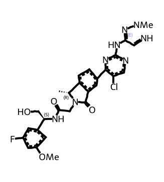 CN/N=C(\C=N)Nc1ncc(Cl)c(-c2ccc3c(c2)C(=O)N(CC(=O)N[C@H](CO)c2cc(F)cc(OC)c2)[C@@H]3C)n1